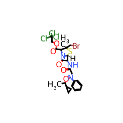 CC(ON(CC(=O)NC1C(=O)N2C(C(=O)OCC(Cl)(Cl)Cl)C(C)(CBr)S[C@@H]12)c1ccccc1)C1CC1